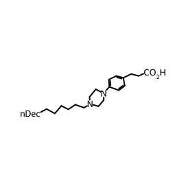 CCCCCCCCCCCCCCCCN1CCN(c2ccc(CCC(=O)O)cc2)CC1